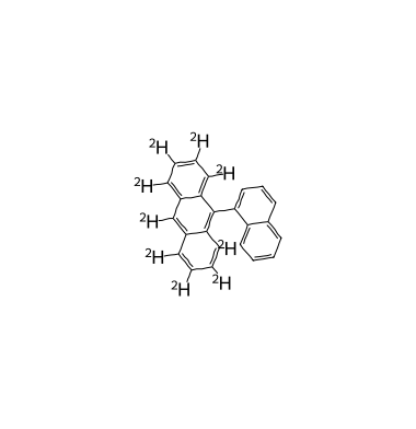 [2H]c1c([2H])c([2H])c2c(-c3cccc4ccccc34)c3c([2H])c([2H])c([2H])c([2H])c3c([2H])c2c1[2H]